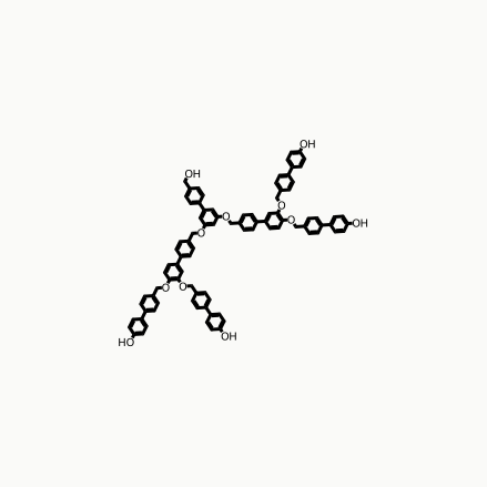 OCc1ccc(-c2cc(OCc3ccc(-c4ccc(OCc5ccc(-c6ccc(O)cc6)cc5)c(OCc5ccc(-c6ccc(O)cc6)cc5)c4)cc3)cc(OCc3ccc(-c4ccc(OCc5ccc(-c6ccc(O)cc6)cc5)c(OCc5ccc(-c6ccc(O)cc6)cc5)c4)cc3)c2)cc1